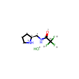 Cl.O=C(NC[C@@H]1CCCN1)C(F)(F)F